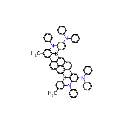 Cc1ccc2c(c1)N(c1ccccc1)c1cc(N(c3ccccc3)c3ccccc3)cc3c1B2c1cc2ccc4c5c(cc6ccc-3c1c6c25)B1c2ccc(N(c3ccccc3)c3ccccc3)cc2N(c2ccccc2)c2cc(C)cc-4c21